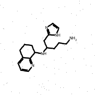 NCCCC(Cc1ncc[nH]1)NC1CCCc2cccnc21